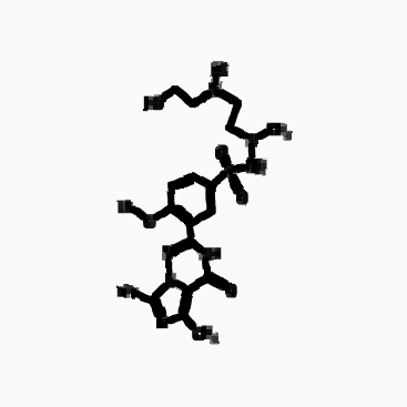 CCCc1nc(C)c2c(=O)[nH]c(-c3cc(S(=O)(=O)NN(C)CCN(CC)CCO)ccc3OCC)nn12